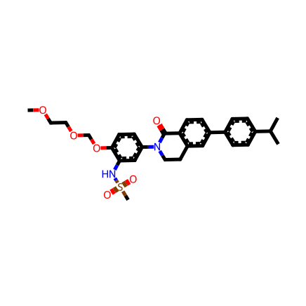 COCCOCOc1ccc(N2CCc3cc(-c4ccc(C(C)C)cc4)ccc3C2=O)cc1NS(C)(=O)=O